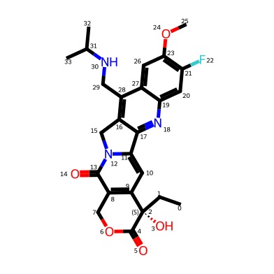 CC[C@@]1(O)C(=O)OCc2c1cc1n(c2=O)Cc2c-1nc1cc(F)c(OC)cc1c2CNC(C)C